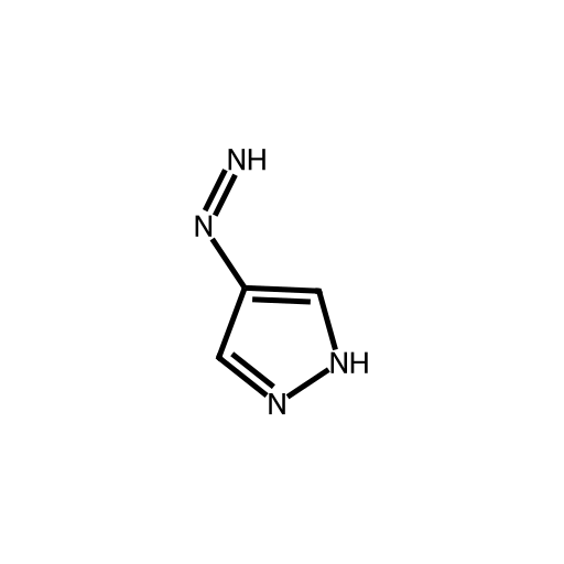 N=Nc1cn[nH]c1